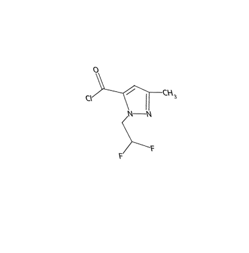 Cc1cc(C(=O)Cl)n(CC(F)F)n1